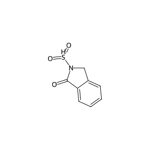 O=C1c2ccccc2CN1[SH](=O)=O